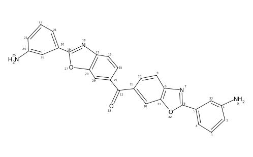 Nc1cccc(-c2nc3ccc(C(=O)c4ccc5nc(-c6cccc(N)c6)oc5c4)cc3o2)c1